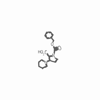 O=C(O)C1C(N2CCCCC2)CCN1C(=O)OCc1ccccc1